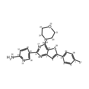 [CH]c1ccc(-c2cc3nc(-c4ccc(N)nc4)nc(N4CCOCC4)c3s2)cc1